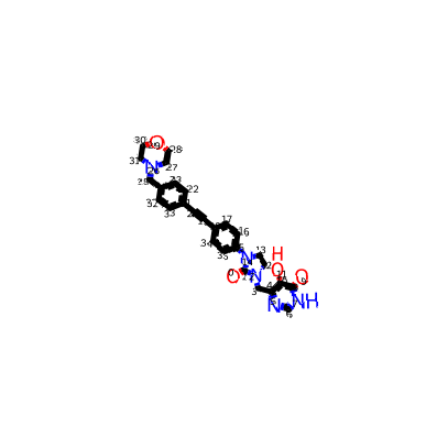 O=C1N(Cc2nc[nH]c(=O)c2O)CCN1c1ccc(C#Cc2ccc(CN3CCOCC3)cc2)cc1